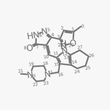 Cc1cc(C2=NNC(=O)/C2=C/c2[nH]c3c(c2CN2CCN(C)CC2)CCCC3)no1